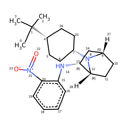 CC(C)(C)[C@H]1CC[C@@H](N2[C@H]3CC[C@@H]2[C@H](Nc2ccccc2[N+](=O)[O-])C3)CC1